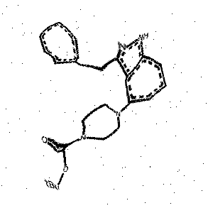 CC(C)(C)OC(=O)N1CCN(c2cccc3[nH]nc(Cc4ccccc4)c23)CC1